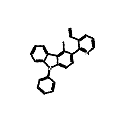 C=Cc1cccnc1-c1ccc2c(c1C)c1ccccc1n2-c1ccccc1